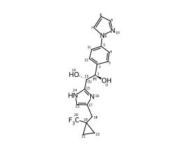 O[C@H](c1ccc(-n2cccn2)cc1)[C@@H](O)c1nc(CC2(C(F)(F)F)CC2)c[nH]1